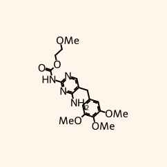 COCCOC(=O)Nc1ncc(Cc2cc(OC)c(OC)c(OC)c2)c(N)n1